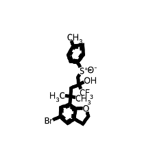 Cc1ccc([S@+]([O-])CC(O)(CC(C)(C)c2cc(Br)cc3c2OCC3)C(F)(F)F)cc1